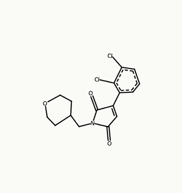 O=C1C=C(c2cccc(Cl)c2Cl)C(=O)N1CC1CCOCC1